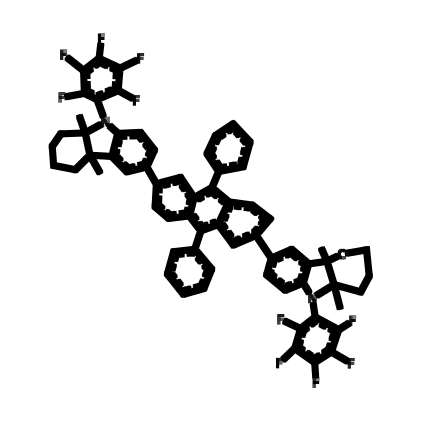 CC12CCCCC1(C)N(c1c(F)c(F)c(F)c(F)c1F)c1ccc(-c3ccc4c(-c5ccccc5)c5cc(-c6ccc7c(c6)C6(C)CCCCC6(C)N7c6c(F)c(F)c(F)c(F)c6F)ccc5c(-c5ccccc5)c4c3)cc12